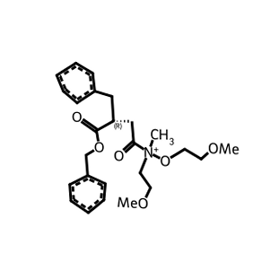 COCCO[N+](C)(CCOC)C(=O)C[C@@H](Cc1ccccc1)C(=O)OCc1ccccc1